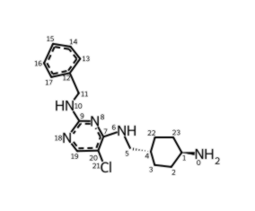 N[C@H]1CC[C@H](CNc2nc(NCc3ccccc3)ncc2Cl)CC1